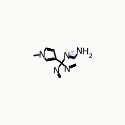 C=NC(N=C)(/N=C/N)c1ccn(C)c1